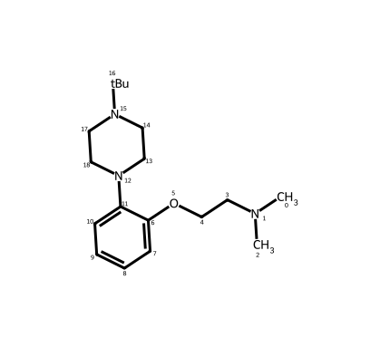 CN(C)CCOc1ccccc1N1CCN(C(C)(C)C)CC1